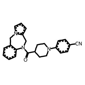 N#Cc1ccc(N2CCC(C(=O)N3Cc4cccn4Cc4ccccc43)CC2)cc1